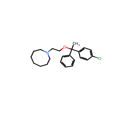 CC(OCCN1CCCCCCC1)(c1ccccc1)c1ccc(Cl)cc1